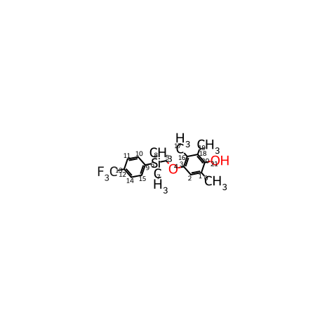 Cc1cc(OC[Si](C)(C)c2ccc(C(F)(F)F)cc2)c(C)c(C)c1O